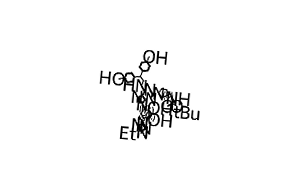 CCc1nnn([C@H]2C[C@@H](n3cnc4c(NCC(c5ccc(O)cc5)c5ccc(O)cc5)nc(N5CC[C@@H](NC(=O)OC(C)(C)C)C5)nc43)[C@H](O)[C@@H]2O)n1